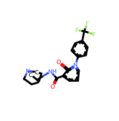 O=C(NC1CN2CCC1CC2)c1cccn(-c2ccc(C(F)(F)F)cc2)c1=O